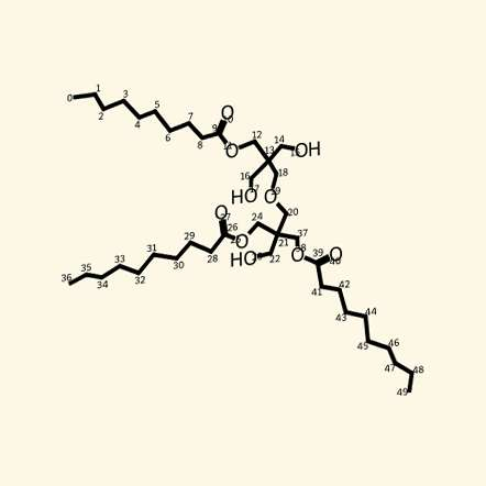 CCCCCCCCCC(=O)OCC(CO)(CO)COCC(CO)(COC(=O)CCCCCCCCC)COC(=O)CCCCCCCCC